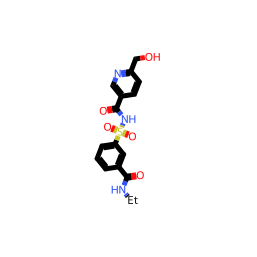 CCNC(=O)c1cccc(S(=O)(=O)NC(=O)c2ccc(CO)nc2)c1